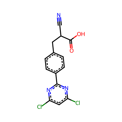 N#CC(Cc1ccc(-c2nc(Cl)cc(Cl)n2)cc1)C(=O)O